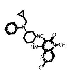 Cn1c(=O)c(C#N)c(N[C@H]2CC[C@H](N(CC3CC3)c3ccccc3)CC2)c2nc(Cl)ccc21